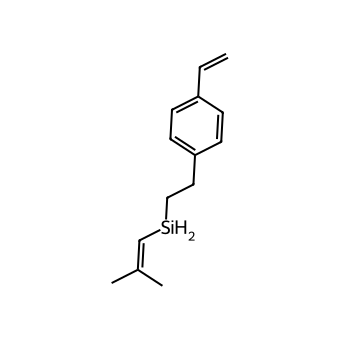 C=Cc1ccc(CC[SiH2]C=C(C)C)cc1